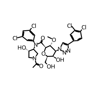 CO[C@@H]1[C@@H](n2cc(-c3ccc(Cl)c(Cl)c3)nn2)[C@@H](O)[C@@H](CO)O[C@H]1C(=O)N(c1cc(Cl)cc(Cl)c1)[C@H]1CN(C(C)=O)C[C@@H]1O